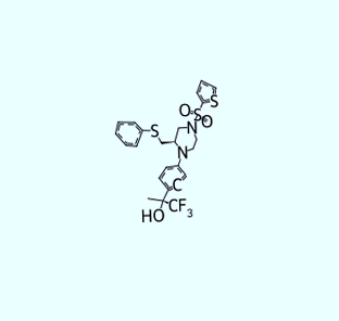 C[C@@](O)(c1ccc(N2CCN(S(=O)(=O)c3cccs3)C[C@@H]2CSc2ccccc2)cc1)C(F)(F)F